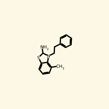 Cc1cccc2c1N(CCc1ccccc1)C(N)S2